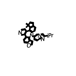 CC(C)c1cn2cc(N3c4ccc5c(c4-c4ccncc4-c4ccc6occc6c43)C(C)(C)C=C5)ccc2n1